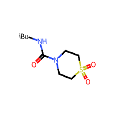 CCC(C)NC(=O)N1CCS(=O)(=O)CC1